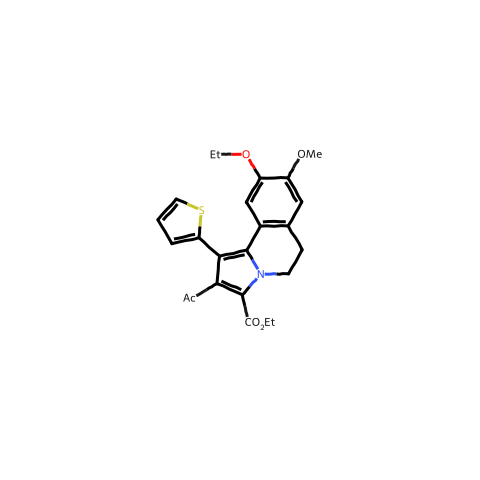 CCOC(=O)c1c(C(C)=O)c(-c2cccs2)c2n1CCc1cc(OC)c(OCC)cc1-2